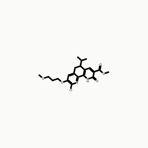 COCCCOc1cc2c(nc1Cl)-c1[nH]c(=O)c(C(=O)OC)cc1C(C(C)C)C2